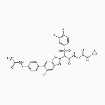 CC(=O)NCc1ccc(-c2cc3sc(C(C(=O)NCC(=O)NC4CC4)S(=O)(=O)c4ccc(F)c(F)c4)nc3cc2F)cc1